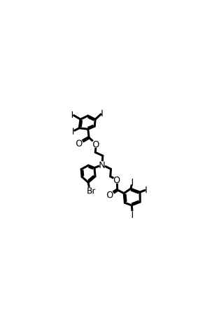 O=C(OCCN(CCOC(=O)c1cc(I)cc(I)c1I)c1cccc(Br)c1)c1cc(I)cc(I)c1I